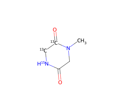 CN1CC(=O)[15NH][13CH2][13C]1=O